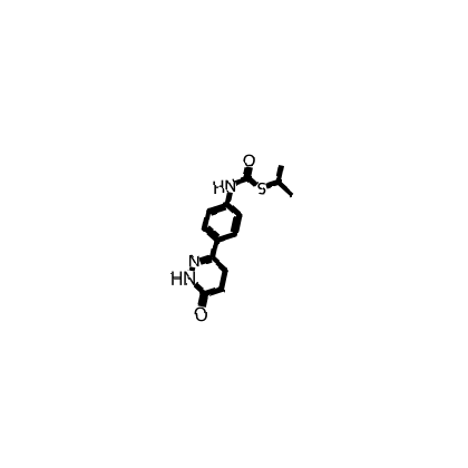 CC(C)SC(=O)Nc1ccc(C2=NNC(=O)CC2)cc1